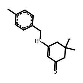 Cc1ccc(CNC2=CC(=O)CC(C)(C)C2)cc1